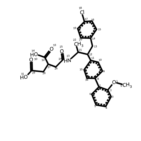 COc1ccccc1-c1ccc(C(Cc2ccc(Cl)cc2)C(C)NC(=O)CC(CC(=O)O)C(=O)O)cc1